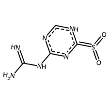 N=C(N)Nc1nc[nH]c(=S(=O)=O)n1